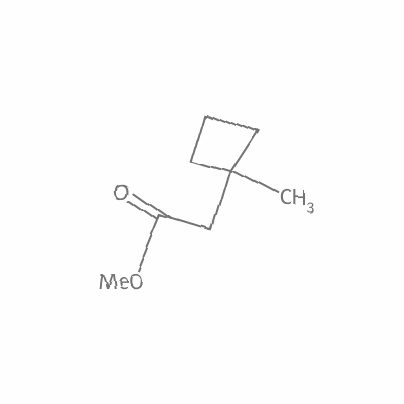 COC(=O)CC1(C)CCC1